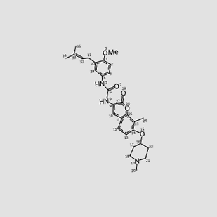 COc1ccc(NC(=O)Nc2cc3ccc(OC4CCN(C)CC4)c(C)c3oc2=O)cc1CC=C(C)C